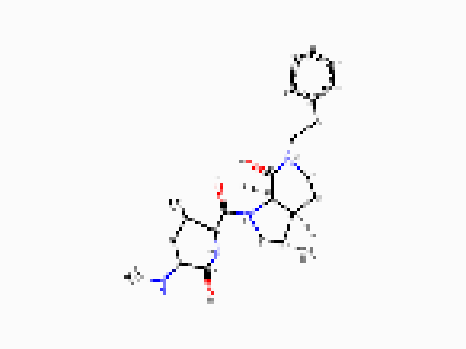 CN[C@H]1CC(C)[C@@H](C(=O)N2C[C@@H](C)[C@@H]3CCN(CCc4ccccc4)C(=O)[C@@H]32)NC1=O